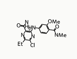 CCc1nc(C(N)=O)c(Nc2ccc(C(=O)NC)c(OC)c2)nc1Cl